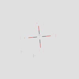 [H+].[LiH].[OH][Ti]([OH])([OH])[OH]